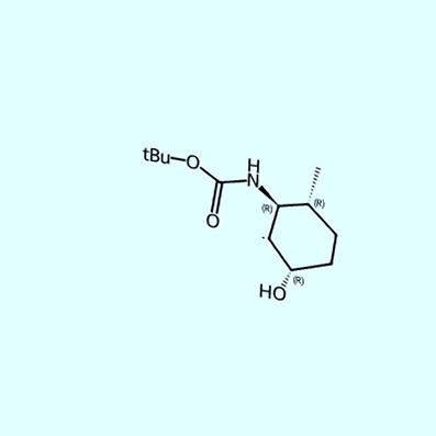 C[C@@H]1CC[C@H](O)[CH][C@H]1NC(=O)OC(C)(C)C